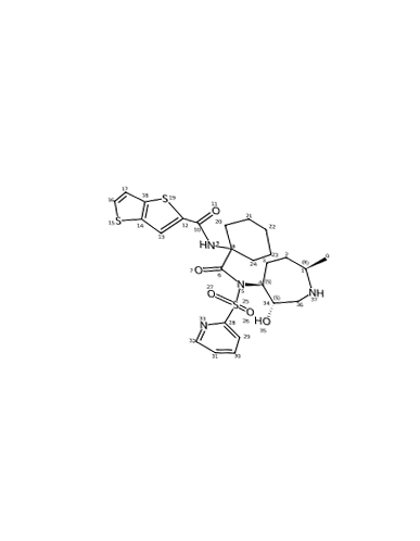 C[C@@H]1CC[C@H](N(C(=O)C2(NC(=O)c3cc4sccc4s3)CCCCC2)S(=O)(=O)c2ccccn2)[C@@H](O)CN1